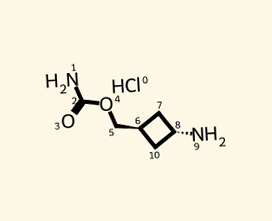 Cl.NC(=O)OC[C@H]1C[C@H](N)C1